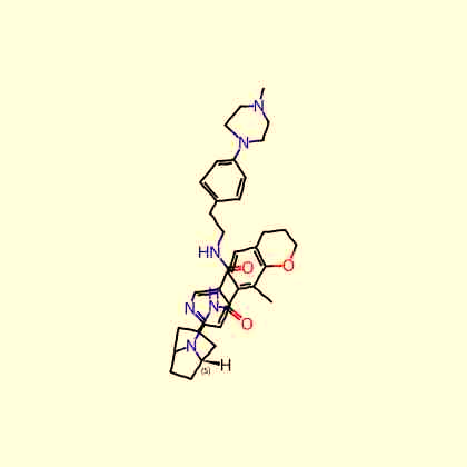 Cc1c(C(=O)NC2CC3CC[C@@H](C2)N3c2ccc(C(=O)NCCc3ccc(N4CCN(C)CC4)cc3)cn2)ccc2c1OCCC2